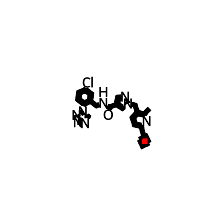 Cc1nc(N2CC3CC2C3)ccc1Cn1cc(C(=O)NCc2cc(Cl)ccc2-n2cnnn2)cn1